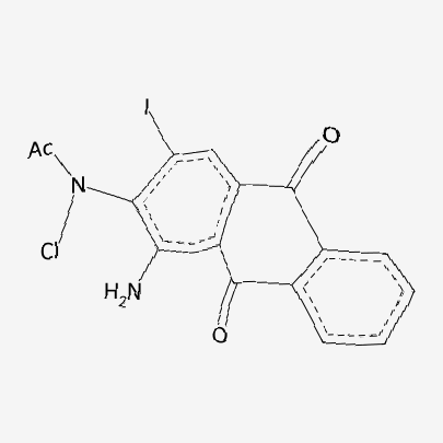 CC(=O)N(Cl)c1c(I)cc2c(c1N)C(=O)c1ccccc1C2=O